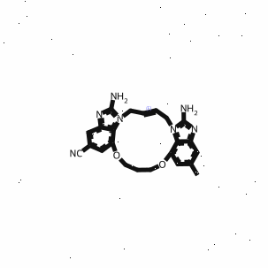 Cc1cc2c3c(c1)nc(N)n3C/C=C/Cn1c(N)nc3cc(C#N)cc(c31)OCCCO2